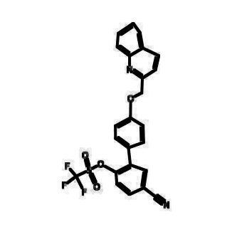 N#Cc1ccc(OS(=O)(=O)C(F)(F)F)c(-c2ccc(OCc3ccc4ccccc4n3)cc2)c1